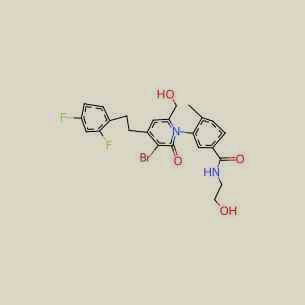 Cc1ccc(C(=O)NCCO)cc1-n1c(CO)cc(CCc2ccc(F)cc2F)c(Br)c1=O